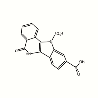 O=c1[nH]c2c3ccc(S(=O)O)cc3n(S(=O)(=O)O)c2c2ccccc12